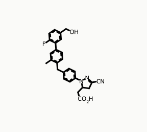 Cc1cc(-c2cc(CO)ccc2F)ccc1Cc1ccc(N2N=C(C#N)CC2CC(=O)O)cc1